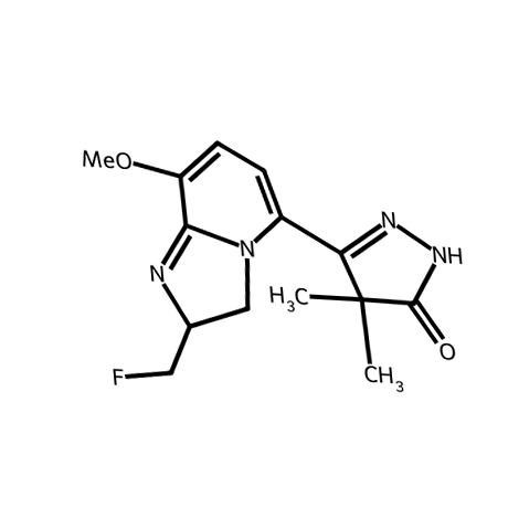 COC1=CC=C(C2=NNC(=O)C2(C)C)N2CC(CF)N=C12